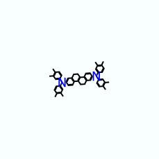 Cc1ccc(N(c2ccc(C)c(C)c2)c2ccc3c(c2)CCC2=C3CCc3cc(N(c4ccc(C)c(C)c4)c4ccc(C)c(C)c4)ccc32)cc1C